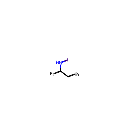 CCC(CC(C)C)NI